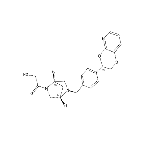 O=C(CO)N1C[C@@H]2C[C@H]1CN2Cc1ccc([C@H]2COc3cccnc3O2)cc1